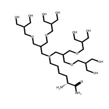 NC(=O)[C@H](N)CCCCN(CC(COCC(CO)CO)COCC(CO)CO)CC(COCC(CO)CO)COCC(CO)CO